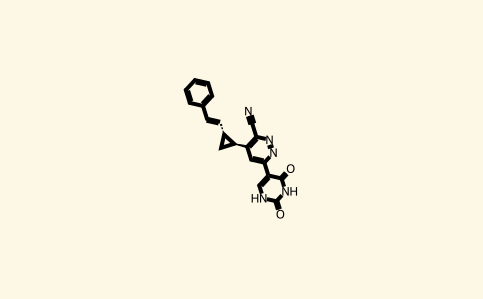 N#Cc1nnc(-c2c[nH]c(=O)[nH]c2=O)cc1[C@H]1C[C@@H]1/C=C/c1ccccc1